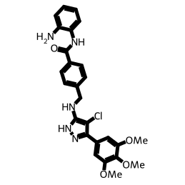 COc1cc(-c2n[nH]c(NCc3ccc(C(=O)Nc4ccccc4N)cc3)c2Cl)cc(OC)c1OC